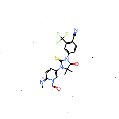 C/N=c1/ccc(N2C(=S)N(c3ccc(C#N)c(C(F)(F)F)c3)C(=O)C2(C)C)cn1C=O